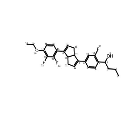 CCCC(O)c1ccc(C2=CCC3C(c4ccc(OCC)c(F)c4F)=CCC23)cc1F